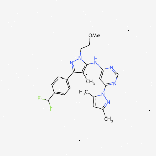 COCCn1nc(-c2ccc(C(F)F)cc2)c(C)c1Nc1cc(-n2nc(C)cc2C)ncn1